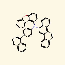 c1ccc2c(-c3ccc(N(c4cc5c6ccccc6ccc5c5ccccc45)c4cccc5oc6ccccc6c45)cc3)cccc2c1